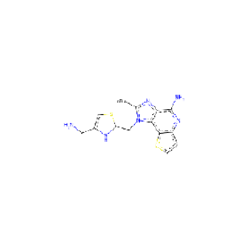 CCCCc1nc2c(N)nc3ccsc3c2n1CC1NC(CN)=CS1